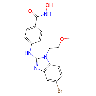 COCCn1c(Nc2ccc(C(=O)NO)cc2)nc2cc(Br)ccc21